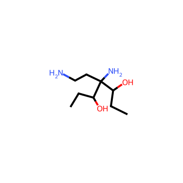 CCC(O)C(N)(CCN)C(O)CC